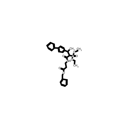 CCOP(=O)(OCC)C(C(=O)NCCC(=O)OCc1ccccc1)C(C)c1ccc(-c2ccccc2)cc1